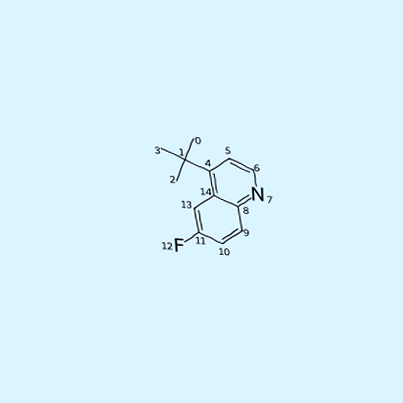 CC(C)(C)c1ccnc2ccc(F)cc12